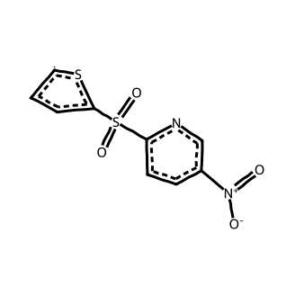 O=[N+]([O-])c1ccc(S(=O)(=O)c2cc[c]s2)nc1